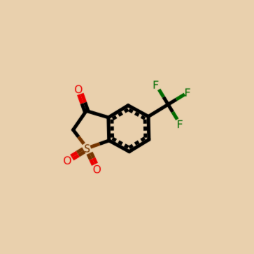 O=C1CS(=O)(=O)c2ccc(C(F)(F)F)cc21